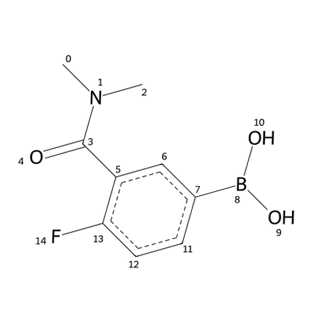 CN(C)C(=O)c1cc(B(O)O)ccc1F